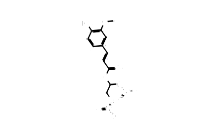 COc1cc(/C=C/C(=O)OC(CO[N+](=O)[O-])O[N+](=O)[O-])ccc1O